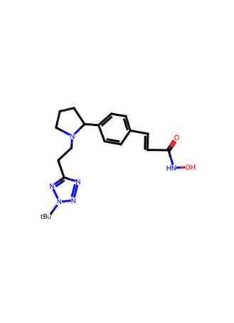 CC(C)(C)n1nnc(CCN2CCCC2c2ccc(C=CC(=O)NO)cc2)n1